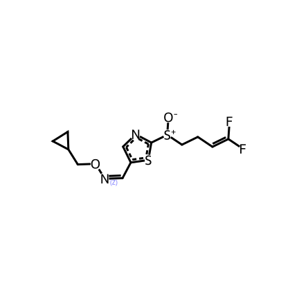 [O-][S+](CCC=C(F)F)c1ncc(/C=N\OCC2CC2)s1